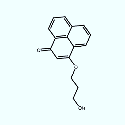 O=C1C=C(OCCCO)c2cccc3cccc1c23